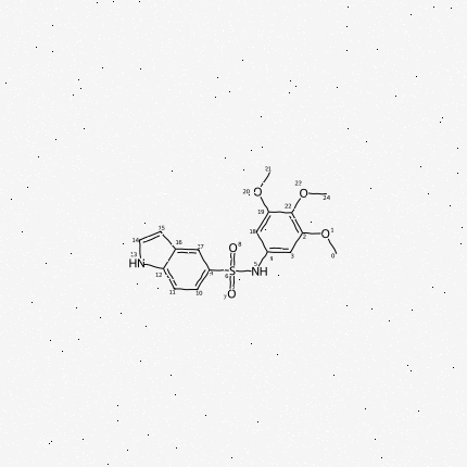 COc1cc(NS(=O)(=O)c2ccc3[nH]ccc3c2)cc(OC)c1OC